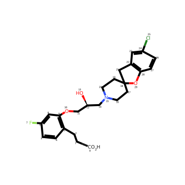 O=C(O)CCc1ccc(F)cc1OC[C@@H](O)CN1CCC2(CC1)Cc1cc(Cl)ccc1O2